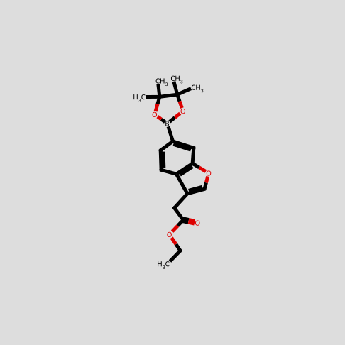 CCOC(=O)Cc1coc2cc(B3OC(C)(C)C(C)(C)O3)ccc12